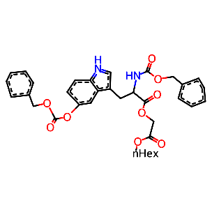 CCCCCCOC(=O)COC(=O)C(Cc1c[nH]c2ccc(OC(=O)OCc3ccccc3)cc12)NC(=O)OCc1ccccc1